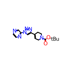 CC(C)(C)OC(=O)N1CC=C(c2cn(-c3cnccn3)nn2)CC1